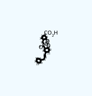 O=C(O)c1ccc(CN2C(=O)c3cc(C#CCc4ccccc4)ccc3OS2=O)cc1